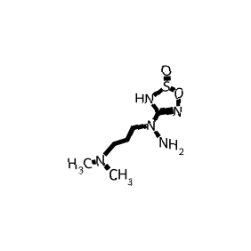 CN(C)CCCN(N)C1=NOS(=O)N1